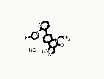 Cl.O=c1c2cn[nH]c2c2ccc(-c3cccnc3N3CCC(F)C3)cc2n1CC(F)(F)F